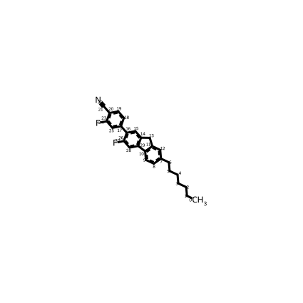 CCCCCCCc1ccc2c(c1)Cc1cc(-c3ccc(C#N)c(F)c3)c(F)cc1-2